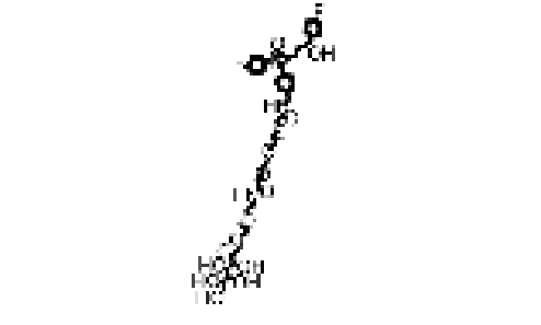 O=C(COCCOCCOCC(=O)NCc1ccc(C2C(CCC(O)c3ccc(F)cc3)C(=O)N2c2ccc(F)cc2)cc1)NCCOCCOCC(=O)C(O)C(O)C(O)C(O)CO